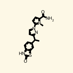 CC(c1ccc2[nH]c(=O)sc2c1)c1ccn(-c2ccc(C(N)=O)n2C)n1